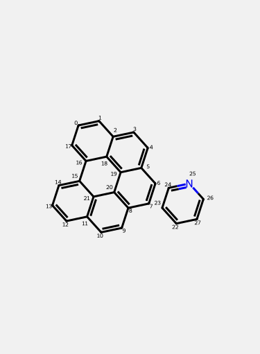 c1cc2ccc3ccc4ccc5cccc6c(c1)c2c3c4c56.c1ccncc1